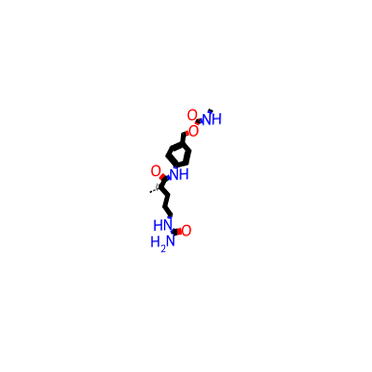 CNC(=O)OCc1ccc(NC(=O)[C@@H](C)CCCNC(N)=O)cc1